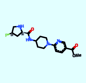 COC(=O)c1ccc(N2CCC(NC(=O)[C@@H]3C[C@@H](F)CN3)CC2)nc1